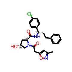 Cc1cc(CC(=O)N2C[C@H](O)C[C@H]2C(=O)N[C@@H](CCc2ccccc2)c2ccc(Cl)cc2)on1